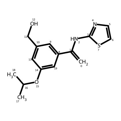 C=C(Nc1nccs1)c1cc(CO)cc(OC(C)C)c1